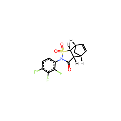 O=C1[C@@H]2[C@@H]([C@@H]3C=C[C@H]2C3)S(=O)(=O)N1c1ccc(F)c(F)c1F